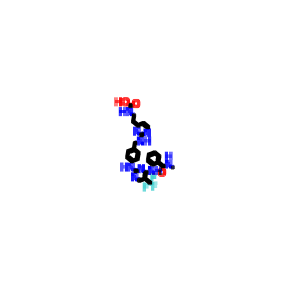 CNC(=O)c1ccccc1Nc1nc(Nc2ccc(CNc3nccc(CCNC(=O)O)n3)cc2)ncc1C(F)(F)F